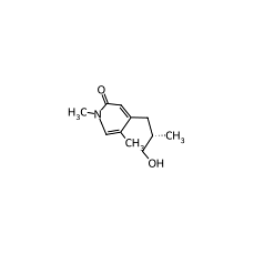 Cc1cn(C)c(=O)cc1C[C@H](C)CO